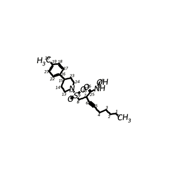 CCCCCC#CC(CS(=O)(=O)N1CCC(c2ccc(C)cc2)CC1)C(=O)NO